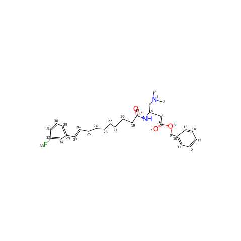 CN(C)CC(CC(=O)OCc1ccccc1)NC(=O)CCCCCCCC=Cc1cccc(F)c1